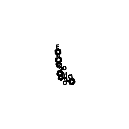 O=C(NC1CCc2ccc(C(=O)N3CCC4(CCN(c5ccc(F)cc5)CC4)C3)cc21)c1ccccc1Cl